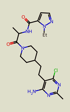 CCn1nccc1C(=O)NC(C)C(=O)N1CCC(CCc2c(N)nc(C)nc2Cl)CC1